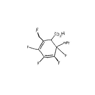 CCCC1(F)C(F)=C(F)C(F)=C(F)C1C(=O)O